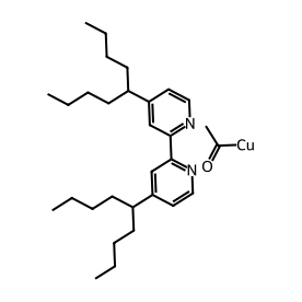 CCCCC(CCCC)c1ccnc(-c2cc(C(CCCC)CCCC)ccn2)c1.C[C](=O)[Cu]